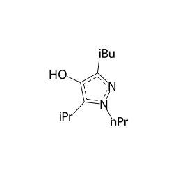 CCCn1nc(C(C)CC)c(O)c1C(C)C